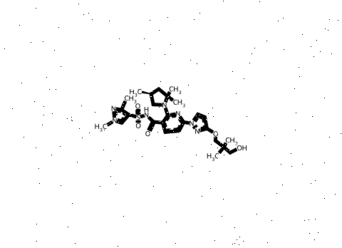 Cc1nn(C)cc1S(=O)(=O)NC(=O)c1ccc(-n2ccc(OCC(C)(C)CO)n2)nc1N1C[C@@H](C)CC1(C)C